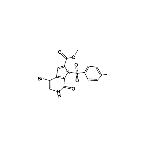 COC(=O)c1cc2c(Br)c[nH]c(=O)c2n1S(=O)(=O)c1ccc(C)cc1